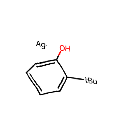 CC(C)(C)c1ccccc1O.[Ag]